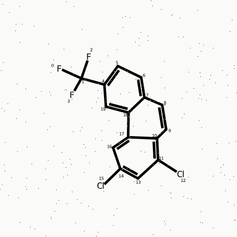 FC(F)(F)c1ccc2[c]cc3c(Cl)cc(Cl)cc3c2c1